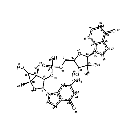 Nc1nc2c(ncn2[C@@H]2O[C@@H]3C(O)[C@]3(F)C2OP(=O)(S)OC[C@H]2O[C@@H](n3nnc4c(=O)[nH]cnc43)C(F)(F)[C@@H]2O)c(=O)[nH]1